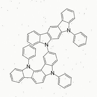 c1ccc(-n2c3ccccc3c3cc4c5ccccc5n(-c5ccc6c(c5)c5c(ccc7c8ccccc8n(-c8ccccc8)c75)n6-c5ccccc5)c4cc32)cc1